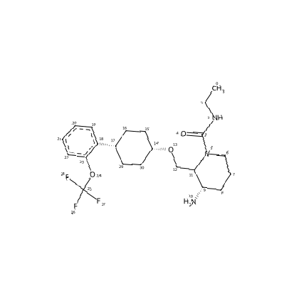 CCNC(=O)N1CCC[C@H](N)C1CO[C@H]1CC[C@@H](c2ccccc2OC(F)(F)F)CC1